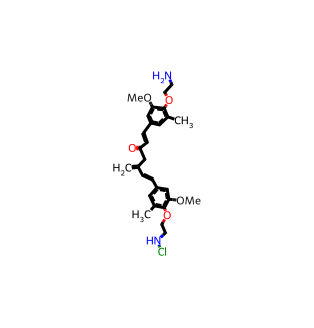 C=C(/C=C/c1cc(C)c(OCCNCl)c(OC)c1)CC(=O)/C=C/c1cc(C)c(OCCN)c(OC)c1